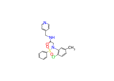 Cc1ccc(Cl)c(N(CC(=O)NCc2ccncc2)S(=O)(=O)c2ccccc2)c1